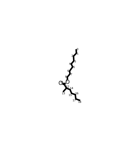 CCCCCCCCCOC(=O)C(C)CCCCC